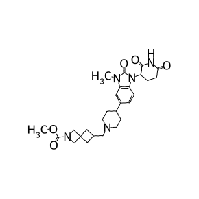 COC(=O)N1CC2(CC(CN3CCC(c4ccc5c(c4)n(C)c(=O)n5C4CCC(=O)NC4=O)CC3)C2)C1